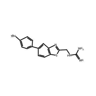 CC(C)(C)c1ccc(-c2ccc3sc(CNC(=N)N)nc3c2)cc1